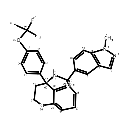 Cn1ncc2cc(C(=O)N[C@]3(c4ccc(OC(F)(F)F)cc4)CCOc4cccnc43)ccc21